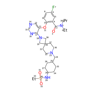 CCN(C(=O)c1cc(F)ccc1Oc1cncnc1N1CC2(CCN(CC3CCC(NS(=O)(=O)CC)CC3)CC2)C1)C(C)C